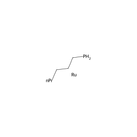 CCCCCCP.[Ru]